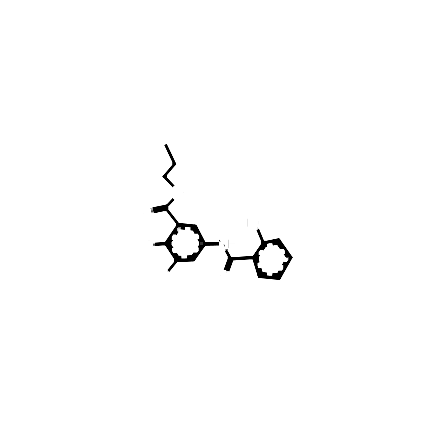 CCCOC(=O)c1cc(NC(=O)c2ccccc2O)cc(Br)c1O